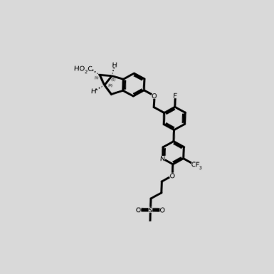 CS(=O)(=O)CCCOc1ncc(-c2ccc(F)c(COc3ccc4c(c3)C[C@H]3[C@H](C(=O)O)[C@@H]43)c2)cc1C(F)(F)F